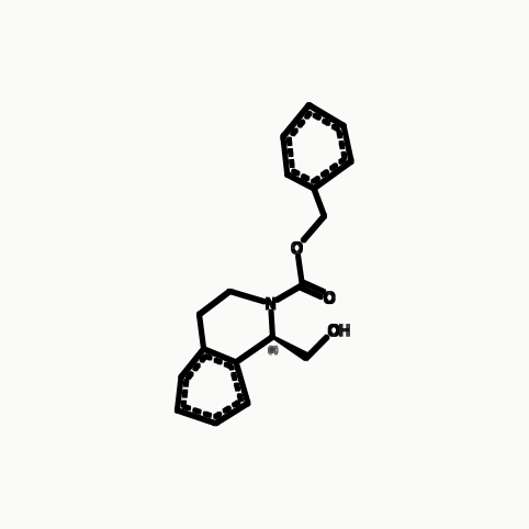 O=C(OCc1ccccc1)N1CCc2ccccc2[C@@H]1CO